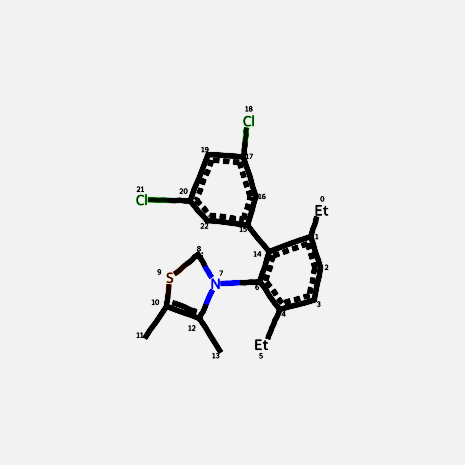 CCc1ccc(CC)c(N2[C]SC(C)=C2C)c1-c1cc(Cl)cc(Cl)c1